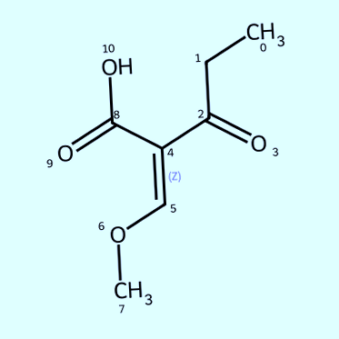 CCC(=O)/C(=C/OC)C(=O)O